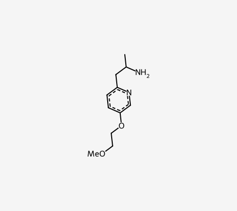 COCCOc1ccc(CC(C)N)nc1